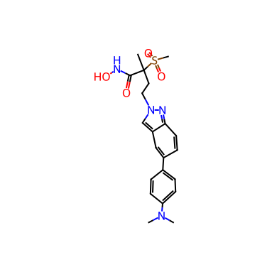 CN(C)c1ccc(-c2ccc3nn(CCC(C)(C(=O)NO)S(C)(=O)=O)cc3c2)cc1